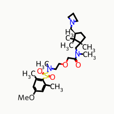 COc1cc(C)c(S(=O)(=O)N(C)CCOCC(=O)N(C)C[C@@]2(C)CC[C@H](CN3CCC3)C2(C)C)c(C)c1